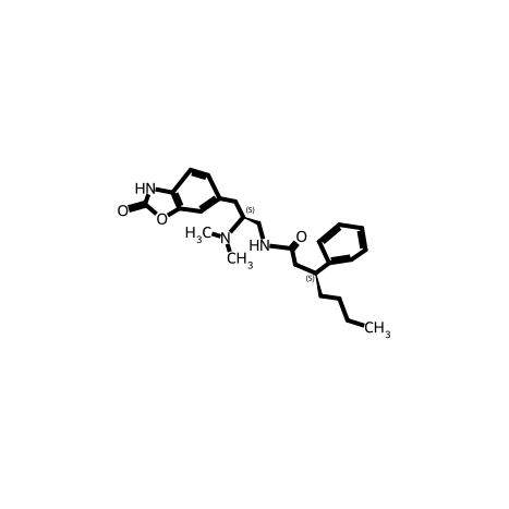 CCCC[C@@H](CC(=O)NC[C@H](Cc1ccc2[nH]c(=O)oc2c1)N(C)C)c1ccccc1